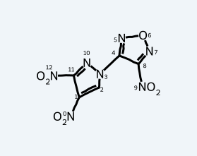 O=[N+]([O-])c1cn(-c2nonc2[N+](=O)[O-])nc1[N+](=O)[O-]